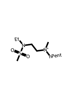 CCCCC[N+](C)CCN(CC)S(C)(=O)=O